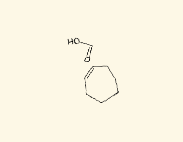 C1=CCCCCC1.O=CO